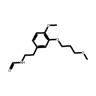 COCCCOc1cc(CCNC=O)ccc1OC